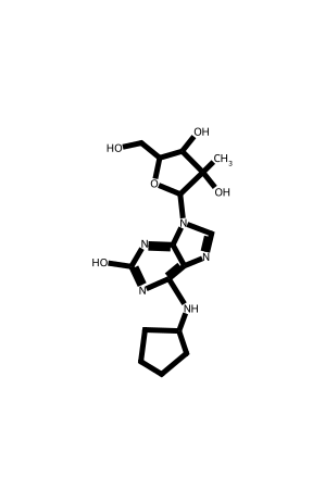 CC1(O)C(O)C(CO)OC1n1cnc2c(NC3CCCC3)nc(O)nc21